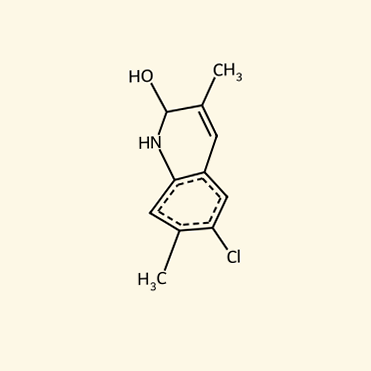 CC1=Cc2cc(Cl)c(C)cc2NC1O